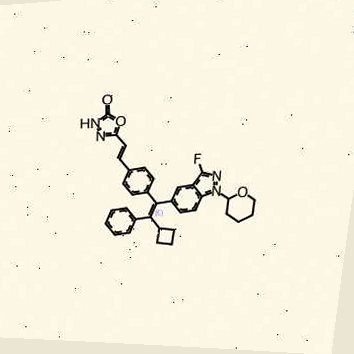 O=c1[nH]nc(C=Cc2ccc(/C(=C(\c3ccccc3)C3CCC3)c3ccc4c(c3)c(F)nn4C3CCCCO3)cc2)o1